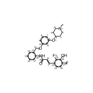 CN1CCC(Oc2cccc(OCc3ccccc3NC(=O)/C=C/c3ccc(F)c(O)c3F)c2)CC1